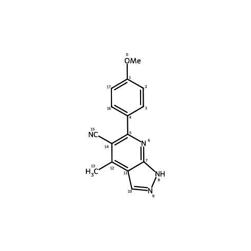 COc1ccc(-c2nc3[nH]ncc3c(C)c2C#N)cc1